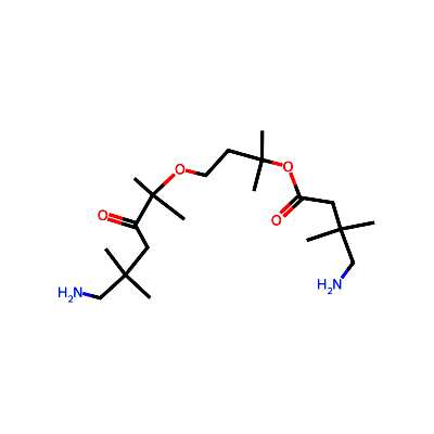 CC(C)(CN)CC(=O)OC(C)(C)CCOC(C)(C)C(=O)CC(C)(C)CN